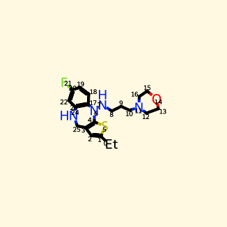 CCc1cc2c(s1)N(NCCCN1CCOCC1)c1ccc(F)cc1NC2